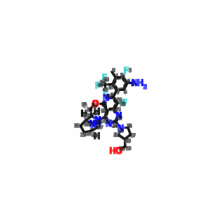 Cc1c(F)c(N)cc(-c2nc3c4c(nc(N5CC[C@@H](CO)C5)nc4c2F)N2C[C@H]4CC[C@H](N4)[C@H]2[C@H](C)O3)c1C(F)(F)F